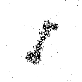 Cc1c(-c2ccc(-c3[nH]c(C4CC5CC5N4C(=O)[C@H](NC(=O)O)C4C[C@@H]5[C@@H](C4)C5(F)F)nc3Cl)cc2)ccc(-c2[nH]c(C3CC4CC4N3C(=O)[C@H](NC(=O)O)C3C[C@@H]4[C@@H](C3)C4(F)F)nc2Cl)c1C